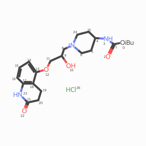 CC(C)COC(=O)NC1CCN(CC(O)COc2cccc3c2CCC(=O)N3)CC1.Cl